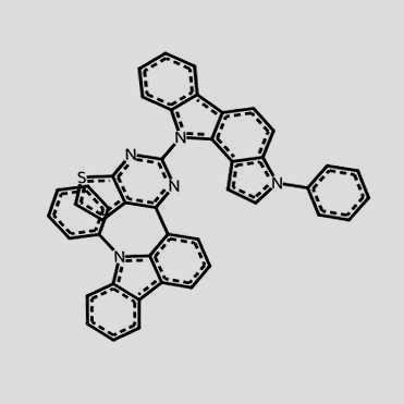 c1ccc(-n2ccc3c2ccc2c4ccccc4n(-c4nc(-c5cccc6c7ccccc7n(-c7ccccc7)c56)c5ccsc5n4)c23)cc1